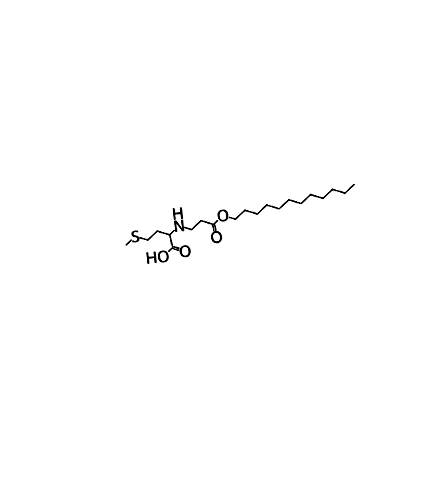 CCCCCCCCCCCCOC(=O)CCNC(CCSC)C(=O)O